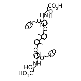 Cc1c(COc2ccc(CNCC(O)CC(=O)O)c(OCCN3CCOCC3)n2)cccc1-c1cccc(COc2ccc(CNCC(O)CC(=O)O)c(OCCN3CCOCC3)n2)c1C